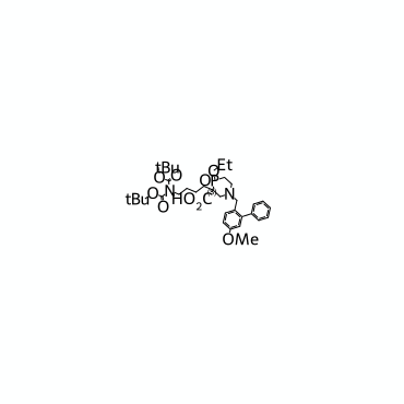 CCOP1(=O)CCN(Cc2ccc(OC)cc2-c2ccccc2)C[C@@]1(CCCCN(C(=O)OC(C)(C)C)C(=O)OC(C)(C)C)C(=O)O